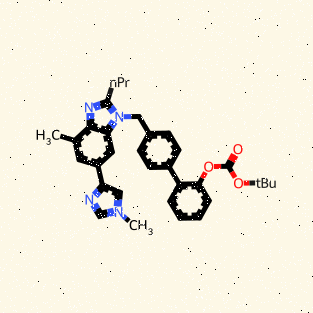 CCCc1nc2c(C)cc(-c3cn(C)cn3)cc2n1Cc1ccc(-c2ccccc2OC(=O)OC(C)(C)C)cc1